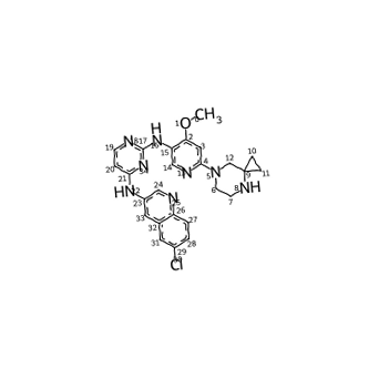 COc1cc(N2CCNC3(CC3)C2)ncc1Nc1nccc(Nc2cnc3ccc(Cl)cc3c2)n1